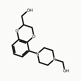 OCC1COc2c(cccc2N2CCN(CO)CC2)O1